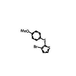 COc1ccc(Sc2sccc2Br)cc1